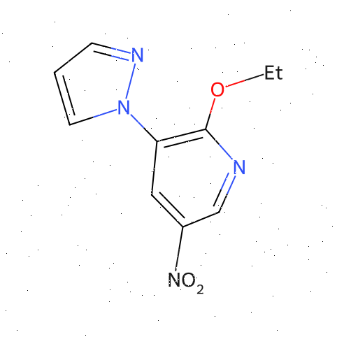 CCOc1ncc([N+](=O)[O-])cc1-n1cccn1